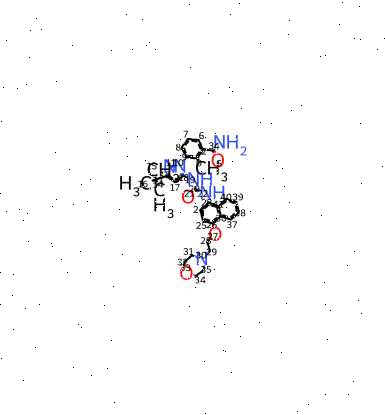 Cc1c(C(N)=O)cccc1-n1nc(C(C)(C)C)cc1NC(=O)Nc1ccc(OCCN2CCOCC2)c2ccccc12